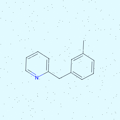 [CH2]c1cccc(Cc2ccccn2)c1